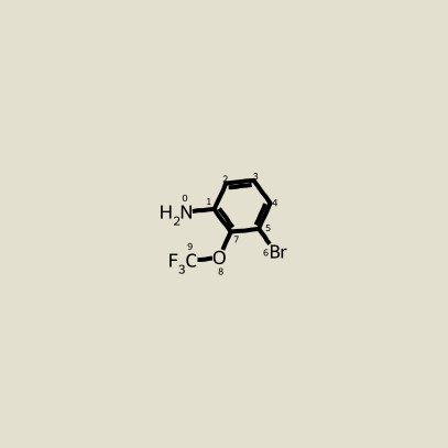 Nc1cccc(Br)c1OC(F)(F)F